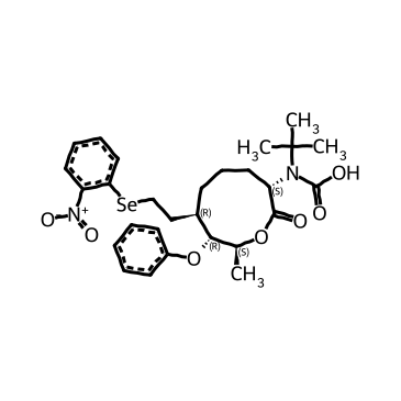 C[C@@H]1OC(=O)[C@@H](N(C(=O)O)C(C)(C)C)CCC[C@H](CC[Se]c2ccccc2[N+](=O)[O-])[C@H]1Oc1ccccc1